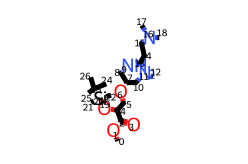 COC(=O)C(COC(CN)CN(C)CCCN(C)C)O[Si](C)(C)C(C)(C)C